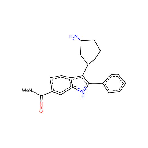 CNC(=O)c1ccc2c(C3CCCC(N)C3)c(-c3ccccc3)[nH]c2c1